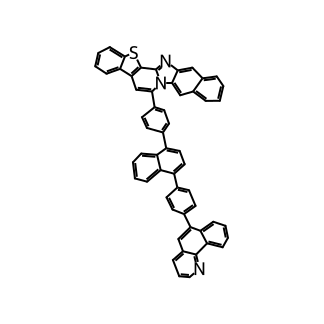 c1ccc2cc3c(cc2c1)nc1c2sc4ccccc4c2cc(-c2ccc(-c4ccc(-c5ccc(-c6cc7cccnc7c7ccccc67)cc5)c5ccccc45)cc2)n31